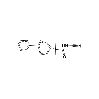 CC(C)(C(=O)NC#N)c1ccc(-c2ccccc2)cc1